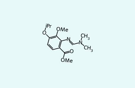 COC(=O)c1ccc(OC(C)C)c(OC)c1N=CN(C)C